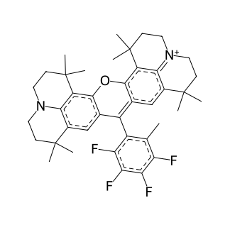 Cc1c(F)c(F)c(F)c(F)c1C1=c2cc3c4c(c2Oc2c1cc1c5c2C(C)(C)CCN5CCC1(C)C)C(C)(C)CC[N+]=4CCC3(C)C